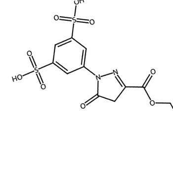 CCOC(=O)C1=NN(c2cc(S(=O)(=O)O)cc(S(=O)(=O)O)c2)C(=O)C1